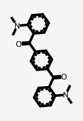 CN(C)c1ccccc1C(=O)c1ccc(C(=O)c2ccccc2N(C)C)cc1